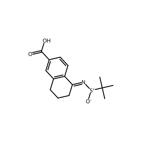 CC(C)(C)[S+]([O-])/N=C1\CCCc2cc(C(=O)O)ccc21